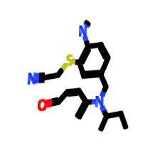 C=Nc1ccc(CN(C(=C)/C=C\C=O)C(C)CC)cc1SCC#N